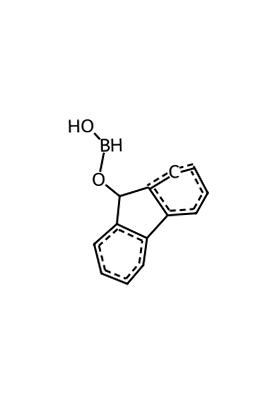 OBOC1c2ccccc2-c2ccccc21